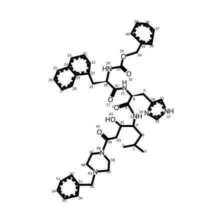 CC(C)CC(NC(=O)[C@H](Cc1c[nH]cn1)NC(=O)[C@@H](Cc1cccc2ccccc12)NC(=O)OCc1ccccc1)C(O)CC(=O)N1CCN(Cc2ccccc2)CC1